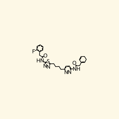 O=C(CC1=CCCC=C1)Nc1ccc(CCCCc2nnc(NC(=O)Cc3ccccc3F)s2)nn1